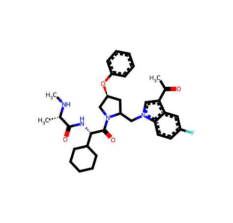 CN[C@@H](C)C(=O)N[C@H](C(=O)N1C[C@@H](Oc2ccccc2)CC1Cn1cc(C(C)=O)c2cc(F)ccc21)C1CCCCC1